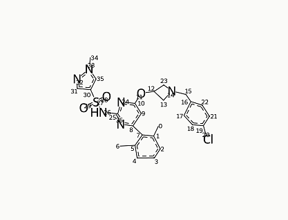 Cc1cccc(C)c1-c1cc(OC2CN(Cc3ccc(Cl)cc3)C2)nc(NS(=O)(=O)c2cnn(C)c2)n1